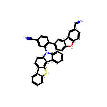 N#Cc1ccc(-c2ccc3oc4ccc(C=N)cc4c3c2)c(-n2c3ccccc3c3c4sc5ccccc5c4ccc32)c1